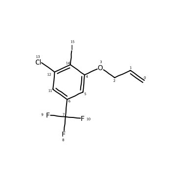 C=CCOc1cc(C(F)(F)F)cc(Cl)c1I